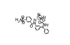 NS(=O)(=O)c1cccc(C(=O)Nc2cccc([C@@H](NC(=O)O[C@H]3CN4CCC3CC4)c3ccccc3)c2)c1